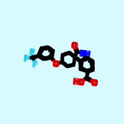 O=C(O)c1ccc2c(c1)C1(CCC(Oc3cccc(C(F)(F)F)c3)CC1)C(=O)N2